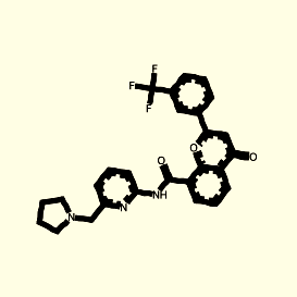 O=C(Nc1cccc(CN2CCCC2)n1)c1cccc2c(=O)cc(-c3cccc(C(F)(F)F)c3)oc12